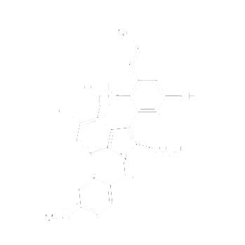 CCOC(=O)c1c(-c2cc(C)cc(C=CC#N)c2C)c2c(P=O)c(Cl)ccc2n1Cc1ccc(OC)cc1